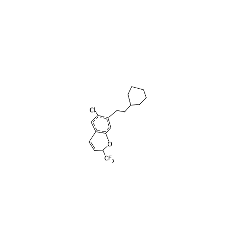 FC(F)(F)C1C=Cc2cc(Cl)c(CCC3CCCCC3)cc2O1